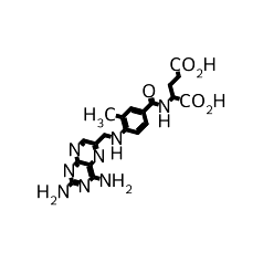 Cc1cc(C(=O)NC(CCC(=O)O)C(=O)O)ccc1NCc1cnc2nc(N)nc(N)c2n1